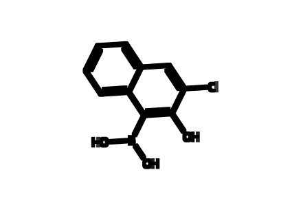 OB(O)c1c(O)c(Cl)cc2ccccc12